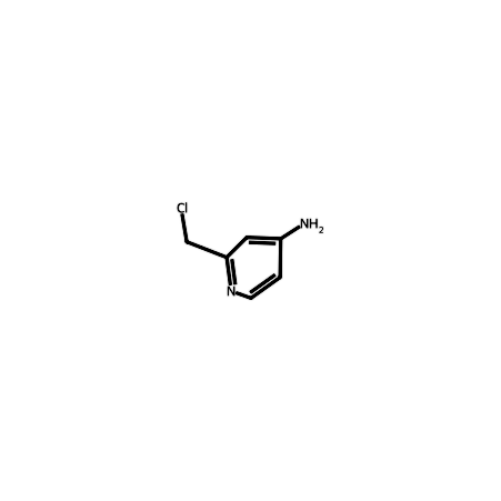 Nc1ccnc(CCl)c1